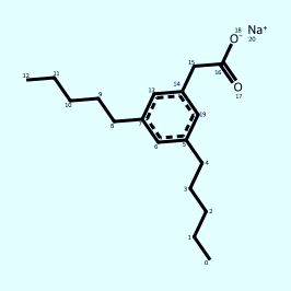 CCCCCc1cc(CCCCC)cc(CC(=O)[O-])c1.[Na+]